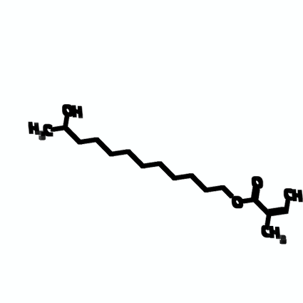 CC=C(C)C(=O)OCCCCCCCCCCC(C)O